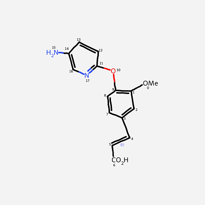 COc1cc(/C=C/C(=O)O)ccc1Oc1ccc(N)cn1